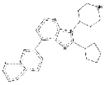 c1ccc2cc(-c3ccnc4c3nc(C3CCCC3)n4C3CCNCC3)ccc2c1